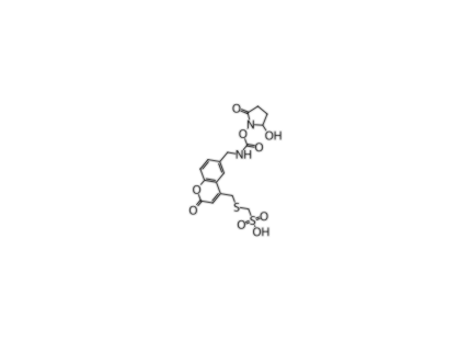 O=C(NCc1ccc2oc(=O)cc(CSCS(=O)(=O)O)c2c1)ON1C(=O)CCC1O